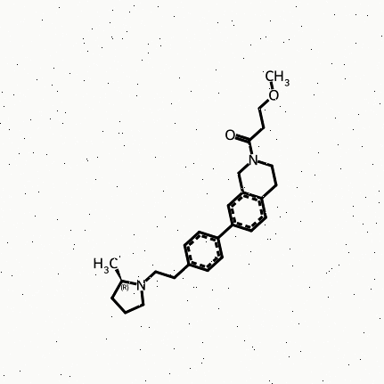 COCCC(=O)N1CCc2ccc(-c3ccc(CCN4CCC[C@H]4C)cc3)cc2C1